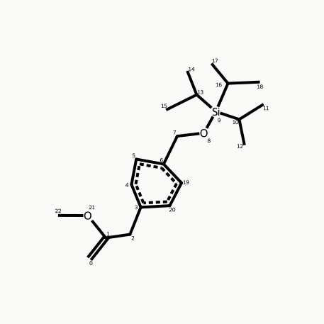 C=C(Cc1ccc(CO[Si](C(C)C)(C(C)C)C(C)C)cc1)OC